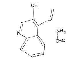 C=Cc1c(O)cnc2ccccc12.NC=O